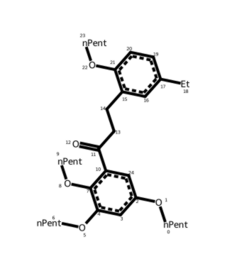 CCCCCOc1cc(OCCCCC)c(OCCCCC)c(C(=O)CCc2cc(CC)ccc2OCCCCC)c1